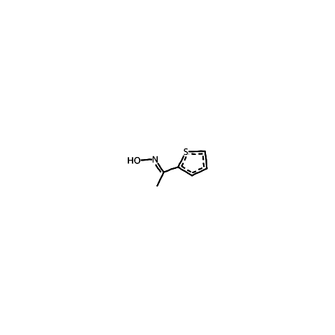 C/C(=N\O)c1cccs1